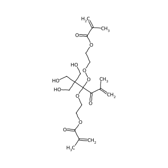 C=C(C)C(=O)OCCOOC(OCCOC(=O)C(=C)C)(C(=O)C(=C)C)C(CO)(CO)CO